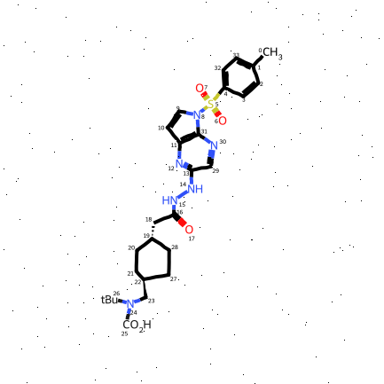 Cc1ccc(S(=O)(=O)n2ccc3nc(NNC(=O)C[C@H]4CC[C@H](CN(C(=O)O)C(C)(C)C)CC4)cnc32)cc1